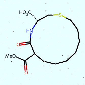 COC(=O)C1CCCCCCCSC[C@@H](C(=O)O)NC1=O